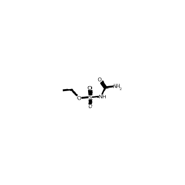 CCOS(=O)(=O)NC(N)=O